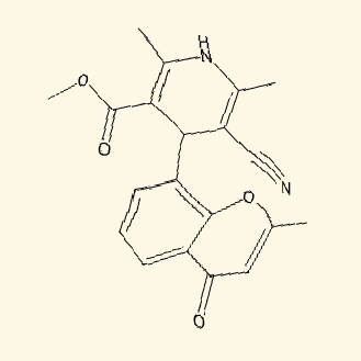 COC(=O)C1=C(C)NC(C)=C(C#N)C1c1cccc2c(=O)cc(C)oc12